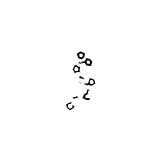 CCC(CC)(COc1ccnc(-c2nc3c(c(N(C)CC(=O)N[C@@H]4CCC[C@@H]4O[Si](c4ccccc4)(c4ccccc4)C(C)(C)C)n2)CCC3)c1)OC1CCCCO1